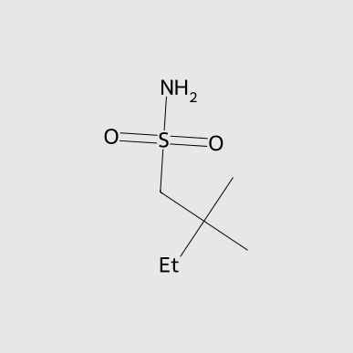 CCC(C)(C)CS(N)(=O)=O